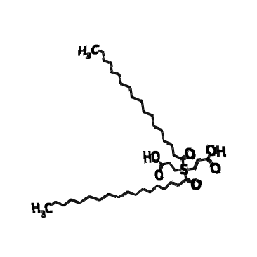 CCCCCCCCCCCCCCCCCC(=O)S(CCC(=O)O)(CCC(=O)O)C(=O)CCCCCCCCCCCCCCCCC